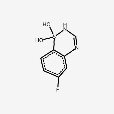 OS1(O)NC=Nc2cc(F)ccc21